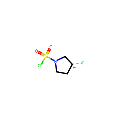 O=S(=O)(Cl)N1CC[C@@H](F)C1